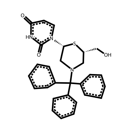 O=c1ccn([C@H]2CN(C(c3ccccc3)(c3ccccc3)c3ccccc3)C[C@@H](CO)S2)c(=O)[nH]1